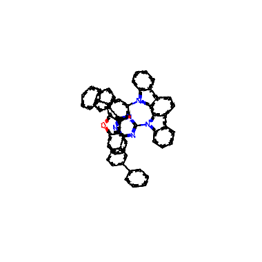 c1ccc(-c2cccc(-c3nc(-c4ccccc4)nc(-n4c5ccccc5c5ccc6c7ccccc7n(-c7cc(-c8ccccc8)c8oc9ccccc9c8c7)c6c54)n3)c2)cc1